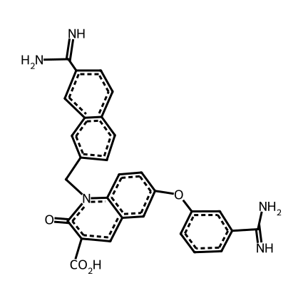 N=C(N)c1cccc(Oc2ccc3c(c2)cc(C(=O)O)c(=O)n3Cc2ccc3ccc(C(=N)N)cc3c2)c1